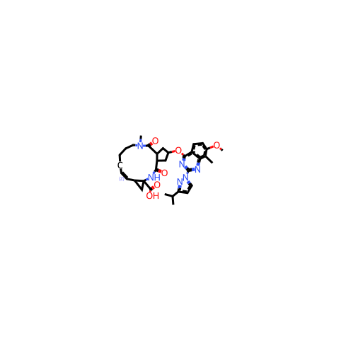 COc1ccc2c(OC3CC4C(=O)NC5(C(=O)O)CC5/C=C\CCCCN(C)C(=O)C4C3)nc(-n3ccc(C(C)C)n3)nc2c1C